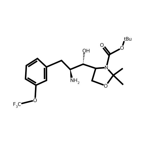 CC(C)(C)OC(=O)N1C([C@@H](O)[C@@H](N)Cc2cccc(OC(F)(F)F)c2)COC1(C)C